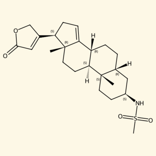 C[C@]12CC[C@H](NS(C)(=O)=O)C[C@H]1CC[C@H]1C3=CC[C@H](C4=CC(=O)OC4)[C@@]3(C)CC[C@@H]12